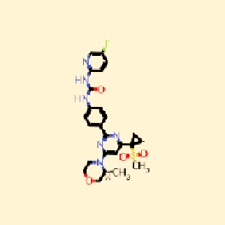 C[C@H]1COCCN1c1cc(C2(S(C)(=O)=O)CC2)nc(-c2ccc(NC(=O)Nc3ccc(F)cn3)cc2)n1